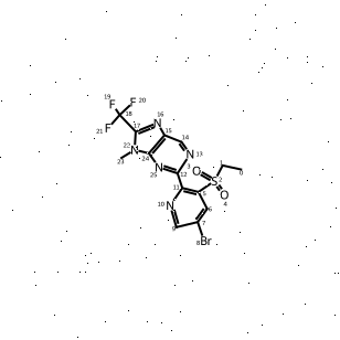 CCS(=O)(=O)c1cc(Br)cnc1-c1ncc2nc(C(F)(F)F)n(C)c2n1